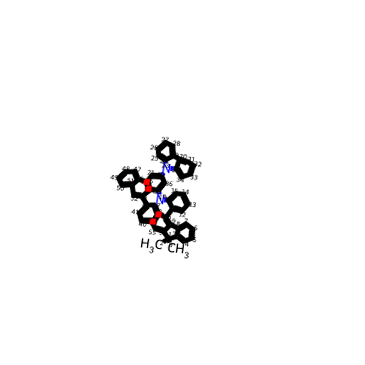 CC1(C)c2ccccc2-c2c(-c3ccccc3N(c3cccc(-n4c5ccccc5c5ccccc54)c3)c3ccccc3-c3ccc4ccccc4c3)cccc21